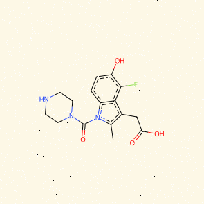 Cc1c(CC(=O)O)c2c(F)c(O)ccc2n1C(=O)N1CCNCC1